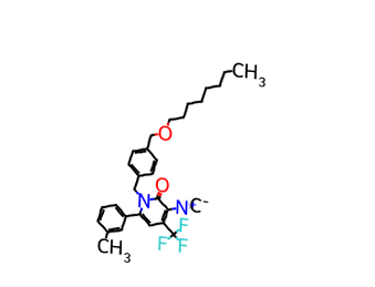 [C-]#[N+]c1c(C(F)(F)F)cc(-c2cccc(C)c2)n(Cc2ccc(COCCCCCCCC)cc2)c1=O